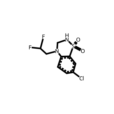 O=S1(=O)NCN(CC(F)F)c2ccc(Cl)cc21